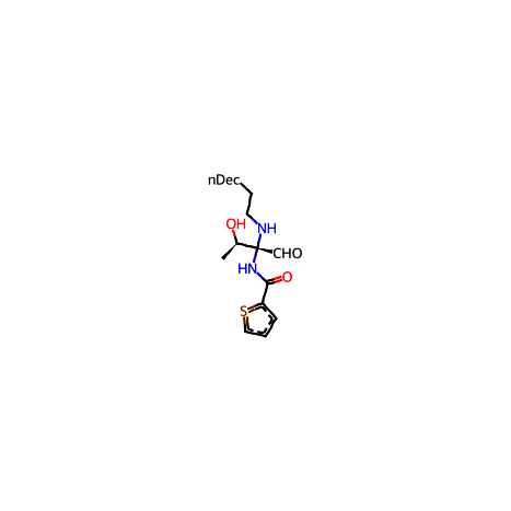 CCCCCCCCCCCCN[C@](C=O)(NC(=O)c1cccs1)[C@@H](C)O